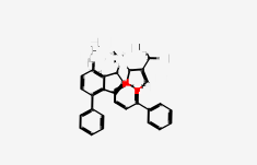 Cl.Cl.[CH2]=[Zr]([CH3])([CH3])([CH]1C(C(C)C)=Cc2c(-c3ccccc3)cccc21)[CH]1C(C)=Cc2c(-c3ccccc3)ccc(C)c21